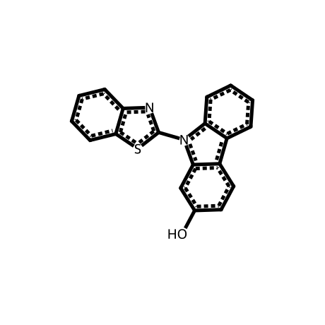 Oc1ccc2c3ccccc3n(-c3nc4ccccc4s3)c2c1